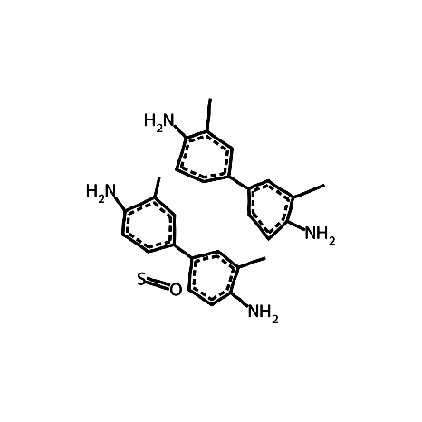 Cc1cc(-c2ccc(N)c(C)c2)ccc1N.Cc1cc(-c2ccc(N)c(C)c2)ccc1N.O=S